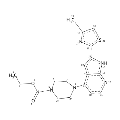 CCOC(=O)N1CCN(c2ccnc3[nH]c(-c4nc(C)cs4)cc23)CC1